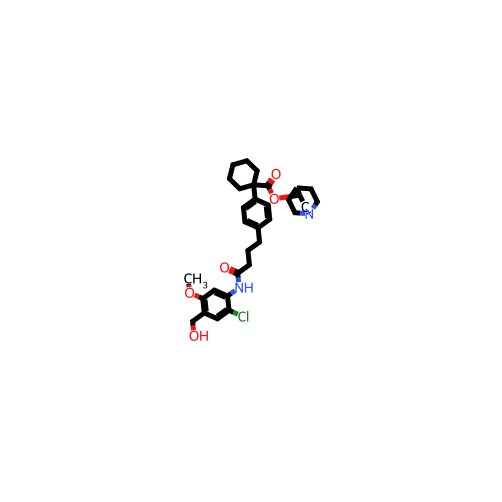 COc1cc(NC(=O)CCCc2ccc(C3(C(=O)OC4CN5CCC4CC5)CCCCC3)cc2)c(Cl)cc1CO